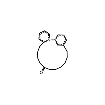 O=C1CCCCCCc2ccc[n+](c2)-[n+]2ccccc2CCCC1